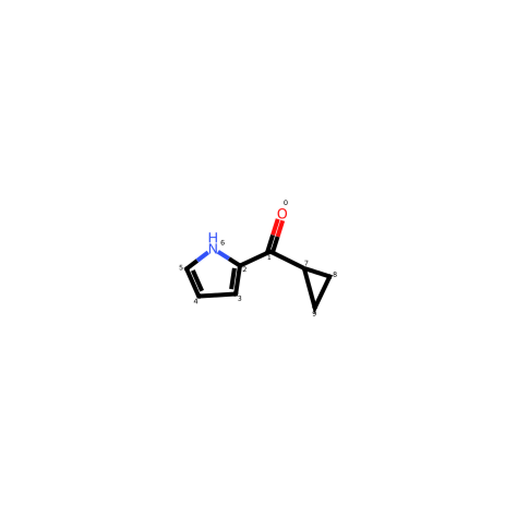 O=C(c1ccc[nH]1)C1CC1